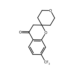 O=C1CC2(CCOCC2)Oc2cc(C(F)(F)F)ccc21